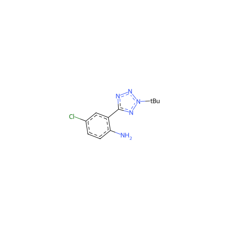 CC(C)(C)n1nnc(-c2cc(Cl)ccc2N)n1